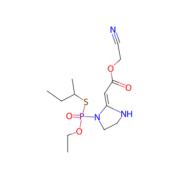 CCOP(=O)(SC(C)CC)N1CCNC1=CC(=O)OCC#N